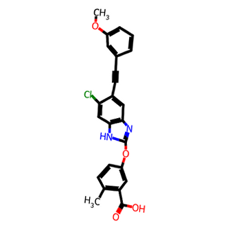 COc1cccc(C#Cc2cc3nc(Oc4ccc(C)c(C(=O)O)c4)[nH]c3cc2Cl)c1